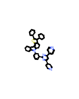 c1ccc(-c2sc3c(ccc4c3c3ccccc3n4-c3cccc(-c4nc(-c5ccncc5)cc(-c5ccncc5)n4)c3)c2-c2ccccc2)cc1